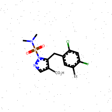 CCc1cc(Cc2c(C(=O)O)cnn2S(=O)(=O)N(C)C)c(Cl)cc1F